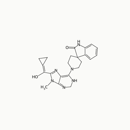 Cn1c(C(O)=C2CC2)nc2c1=NCNC=2N1CCC2(CC1)C(=O)Nc1ccccc12